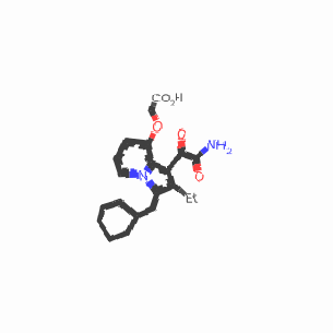 CCc1c(C(=O)C(N)=O)c2c(OCC(=O)O)cccn2c1CC1CCCCC1